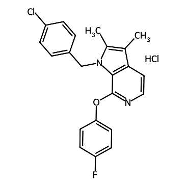 Cc1c(C)n(Cc2ccc(Cl)cc2)c2c(Oc3ccc(F)cc3)nccc12.Cl